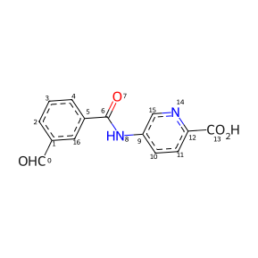 O=Cc1cccc(C(=O)Nc2ccc(C(=O)O)nc2)c1